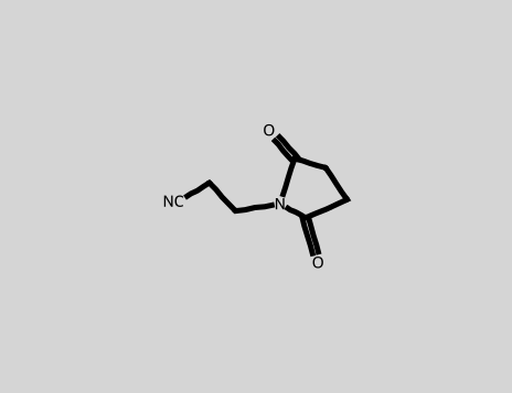 N#CCCN1C(=O)CCC1=O